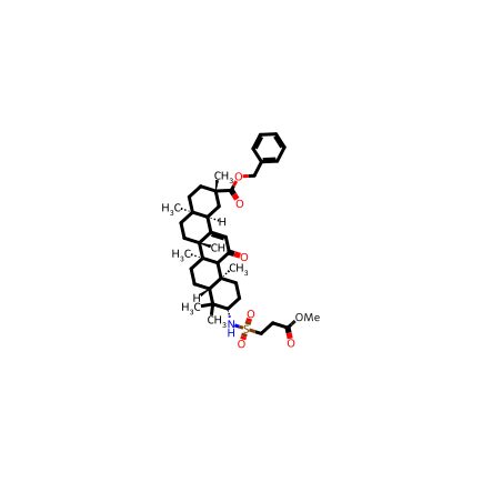 COC(=O)CCS(=O)(=O)N[C@H]1CC[C@]2(C)C3C(=O)C=C4[C@@H]5C[C@@](C)(C(=O)OCc6ccccc6)CC[C@]5(C)CC[C@@]4(C)[C@]3(C)CC[C@H]2C1(C)C